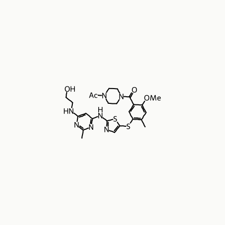 COc1cc(C)c(Sc2cnc(Nc3cc(NCCO)nc(C)n3)s2)cc1C(=O)N1CCN(C(C)=O)CC1